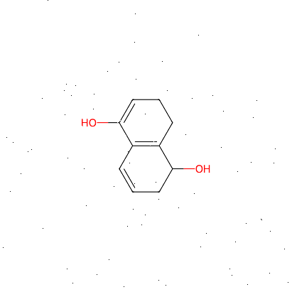 OC1=CCCC2=C1C=CCC2O